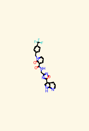 O=C(NCc1noc(-c2c[nH]c3ncccc23)n1)c1cccn(Cc2ccc(C(F)(F)F)cc2)c1=O